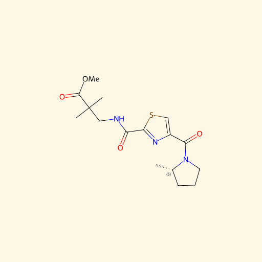 COC(=O)C(C)(C)CNC(=O)c1nc(C(=O)N2CCC[C@@H]2C)cs1